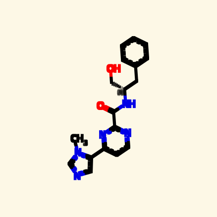 Cn1cncc1-c1ccnc(C(=O)N[C@H](CO)Cc2ccccc2)n1